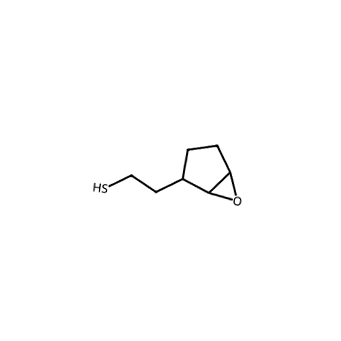 SCCC1CCC2OC12